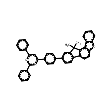 CC1(C)c2cc(-c3ccc(-c4cc(-c5ccccc5)nc(-c5ccccc5)n4)cc3)ccc2-c2ccc3oc4ccccc4c3c21